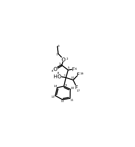 CCOC(=O)C(F)C(O)(c1ccccc1)C(F)F